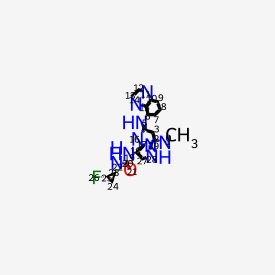 CNc1cc(Nc2cccc3nccnc23)nc2c(NC(=O)N[C@@H]3C[C@@H]3F)cnn12